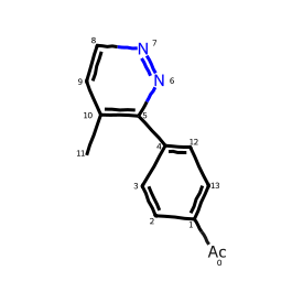 CC(=O)c1ccc(-c2nnccc2C)cc1